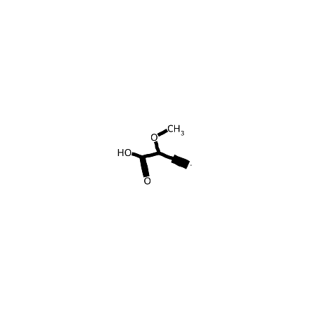 [C]#CC(OC)C(=O)O